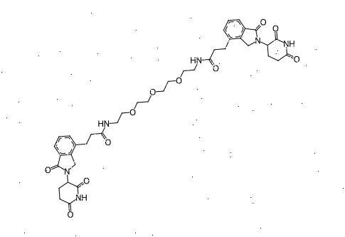 O=C(CCc1cccc2c1CN(C1CCC(=O)NC1=O)C2=O)NCCOCCOCCOCCNC(=O)CCc1cccc2c1CN(C1CCC(=O)NC1=O)C2=O